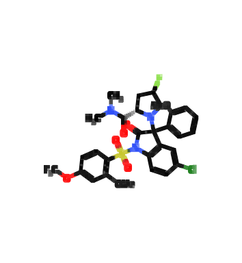 COc1ccccc1C1(N2C[C@H](F)C[C@H]2C(=O)N(C)C)C(=O)N(S(=O)(=O)c2ccc(OC(F)(F)F)cc2OC)c2ccc(Cl)cc21